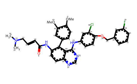 COc1ccc(-c2c(NC(=O)/C=C/CN(C)C)ccc3ncnc(Nc4ccc(OCc5cccc(F)c5)c(Cl)c4)c23)cc1OC